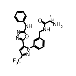 C[C@H](N)C(=O)NCc1cccc(-n2nc(C(F)(F)F)cc2-c2nnc(Nc3ccccc3)o2)c1